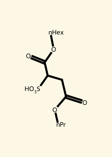 CCCCCCOC(=O)C(CC(=O)OCCC)S(=O)(=O)O